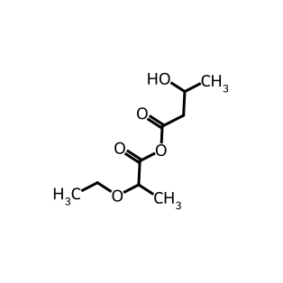 CCOC(C)C(=O)OC(=O)CC(C)O